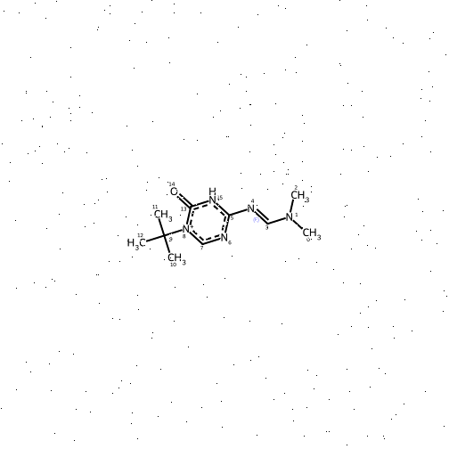 CN(C)/C=N/c1nc[n+](C(C)(C)C)c(=O)[nH]1